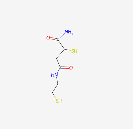 NC(=O)C(S)CC(=O)NCCS